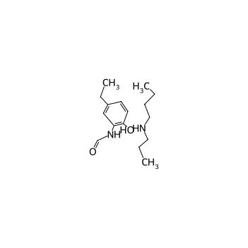 CCCCNCCC.CCc1ccc(O)c(NC=O)c1